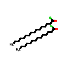 CCCCCCCCCCCCCC(=O)Cl.CCCCCCCCCCCCCCCC(=O)Cl